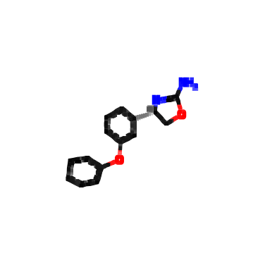 NC1=N[C@@H](c2cccc(Oc3ccccc3)c2)CO1